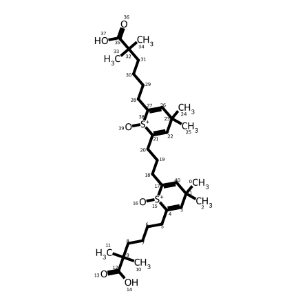 CC1(C)C=C(CCCCC(C)(C)C(=O)O)[S+]([O-])C(CCCC2=CC(C)(C)C=C(CCCCC(C)(C)C(=O)O)[S+]2[O-])=C1